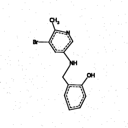 Cc1ncc(NCc2ccccc2O)cc1Br